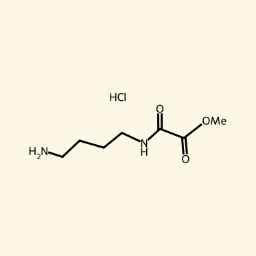 COC(=O)C(=O)NCCCCN.Cl